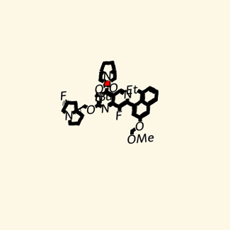 CCc1cccc2cc(OCOC)cc(-c3ncc4c(N5CC6CCC(C5)N6C(=O)OC(C)(C)C)nc(OC[C@@]56CCCN5C[C@H](F)C6)nc4c3F)c12